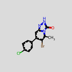 Cc1c(Br)c(-c2ccc(Cl)cc2)cc2n[nH]c(=O)n12